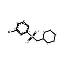 O=S(=O)(CC1CCCCC1)c1cccc(Br)c1